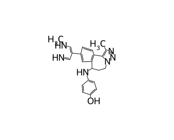 CN/C=C(\C=N)c1ccc2c(c1)C(Nc1ccc(O)cc1)CCn1nnc(C)c1-2